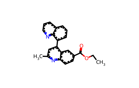 CCOC(=O)c1ccc2nc(C)cc(-c3cccc4cccnc34)c2c1